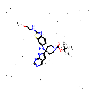 COCCNc1nc2ccc(NC3(c4cc5cncnc5[nH]4)CCN(C(=O)OC(C)(C)C)CC3)cc2s1